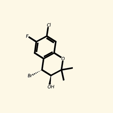 CC1(C)Oc2cc(Cl)c(F)cc2[C@@H](Br)[C@@H]1O